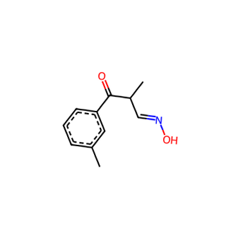 Cc1cccc(C(=O)C(C)C=NO)c1